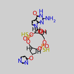 Nc1nc2c(ccn2[C@@H]2O[C@@H]3CO[P@](=O)(S)O[C@H]4C[C@H](Oc5ccncn5)C[C@@H]4CO[P@@](=O)(S)O[C@@H]2[C@@H]3O)c(=O)[nH]1